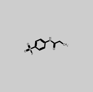 [CH2]CC(=O)Nc1ccc(S(=O)(=O)F)cc1